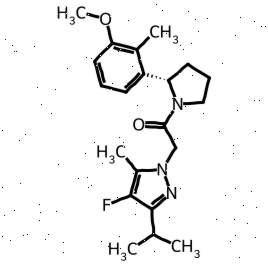 COc1cccc([C@@H]2CCCN2C(=O)Cn2nc(C(C)C)c(F)c2C)c1C